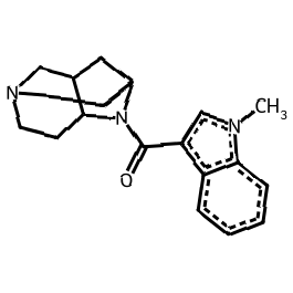 Cn1cc(C(=O)N2C3CC4CN(CCC42)C3)c2ccccc21